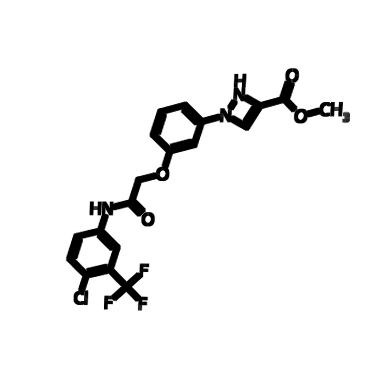 COC(=O)c1cn(-c2cccc(OCC(=O)Nc3ccc(Cl)c(C(F)(F)F)c3)c2)[nH]1